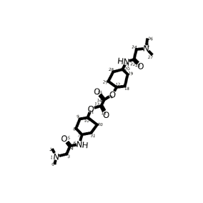 CN(C)CC(=O)NC1CCC(OC(=O)C(=O)OC2CCC(NC(=O)CN(C)C)CC2)CC1